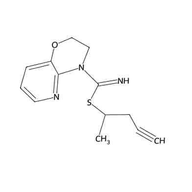 C#CCC(C)SC(=N)N1CCOc2cccnc21